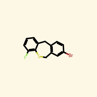 Fc1cccc2c1SCc1cc(Br)ccc1C2